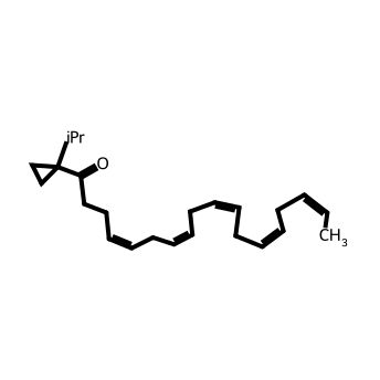 C/C=C\C/C=C\C/C=C\C/C=C\C/C=C\CCC(=O)C1(C(C)C)CC1